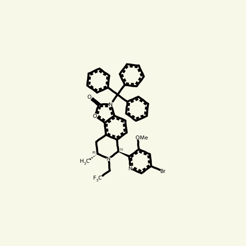 COc1cc(Br)cnc1[C@@H]1c2ccc3c(oc(=O)n3C(c3ccccc3)(c3ccccc3)c3ccccc3)c2C[C@@H](C)N1CC(F)(F)F